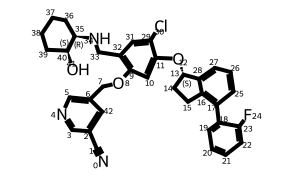 N#Cc1cncc(COc2cc(O[C@H]3CCc4c(-c5ccccc5F)cccc43)c(Cl)cc2CN[C@@H]2CCCC[C@@H]2O)c1